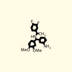 COc1ccc(C(NC(C)c2ccc(F)c(F)c2)c2cccc(N)c2)cc1OC